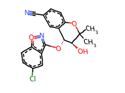 CC1(C)Oc2ccc(C#N)cc2[C@@H](Oc2noc3ccc(Cl)cc23)[C@@H]1O